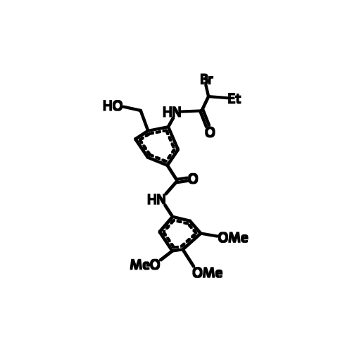 CCC(Br)C(=O)Nc1cc(C(=O)Nc2cc(OC)c(OC)c(OC)c2)ccc1CO